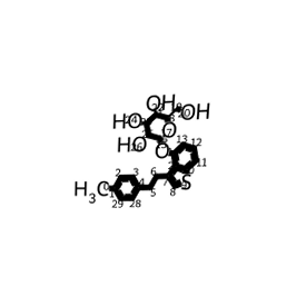 Cc1ccc(CCc2csc3cccc(O[C@@H]4O[C@H](CO)[C@@H](O)[C@H](O)[C@H]4O)c23)cc1